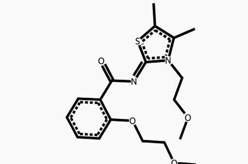 COCCOc1ccccc1C(=O)/N=c1\sc(C)c(C)n1CCOC